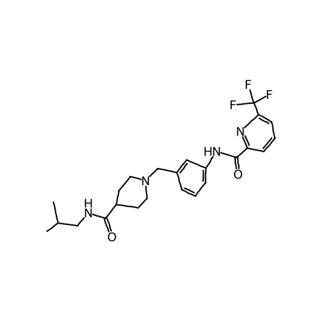 CC(C)CNC(=O)C1CCN(Cc2cccc(NC(=O)c3cccc(C(F)(F)F)n3)c2)CC1